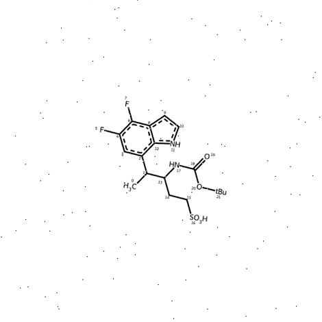 CC(c1cc(F)c(F)c2cc[nH]c12)C(CCS(=O)(=O)O)NC(=O)OC(C)(C)C